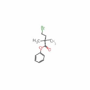 CC(C)(CCBr)C(=O)Oc1ccccc1